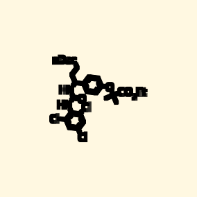 CCCCCCCCCCCCC(NC(=O)Nc1c(Cl)cc(Cl)cc1Cl)c1ccc(OC(C)(C)C(=O)OCC)cc1